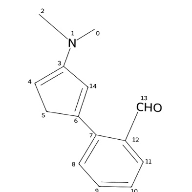 CN(C)C1=CCC(c2ccccc2C=O)=C1